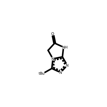 CC(C)(C)c1nnc2n1CC(=O)N2